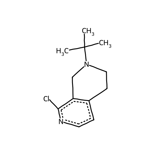 CC(C)(C)N1CCc2ccnc(Cl)c2C1